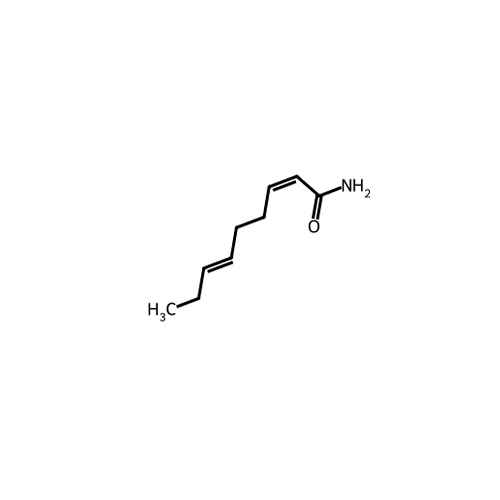 CCC=CCC/C=C\C(N)=O